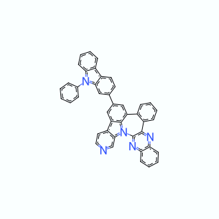 c1ccc(-n2c3ccccc3c3ccc(-c4cc5c6c(c4)c4ccncc4n6-c4nc6ccccc6nc4-c4ccccc4-5)cc32)cc1